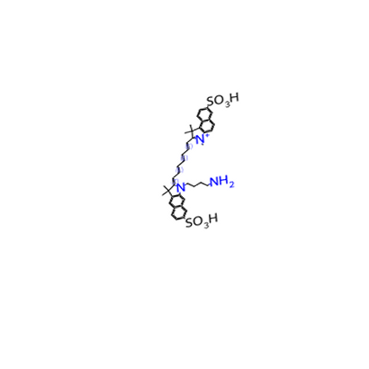 C[N+]1=C(/C=C/C=C/C=C/C=C2\N(CCCCN)c3cc4cc(S(=O)(=O)O)ccc4cc3C2(C)C)C(C)(C)c2c1ccc1cc(S(=O)(=O)O)ccc21